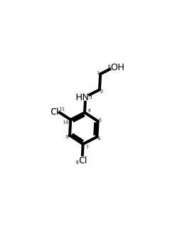 OCCNc1ccc(Cl)cc1Cl